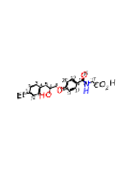 CCc1ccc(CC(O)COc2ccc(C(=O)NCC(=O)O)cc2)cc1